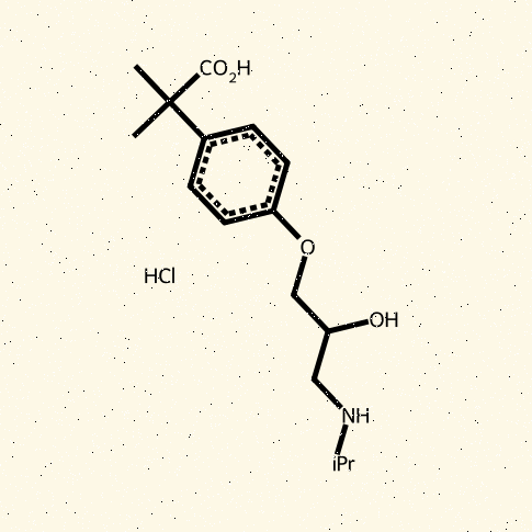 CC(C)NCC(O)COc1ccc(C(C)(C)C(=O)O)cc1.Cl